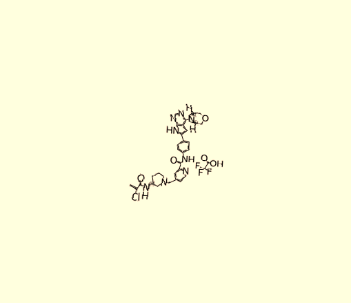 C=C(Cl)C(=O)N[C@@H]1CCCN(Cc2ccnc(C(=O)Nc3ccc(-c4cc5c(N6[C@@H]7CC[C@H]6COC7)ncnc5[nH]4)cc3)c2)C1.O=C(O)C(F)(F)F